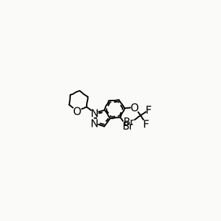 FC(F)(Br)Oc1ccc2c(cnn2C2CCCCO2)c1Br